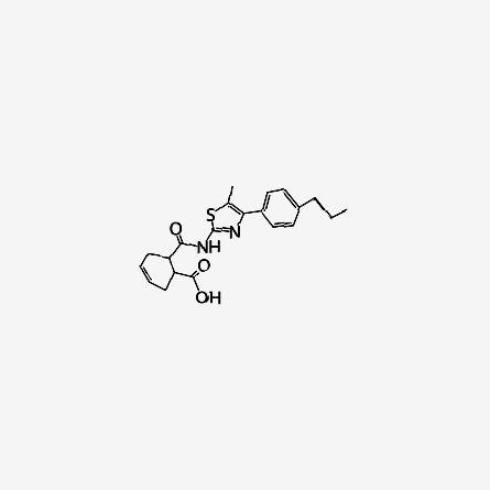 CCCc1ccc(-c2nc(NC(=O)C3CC=CCC3C(=O)O)sc2C)cc1